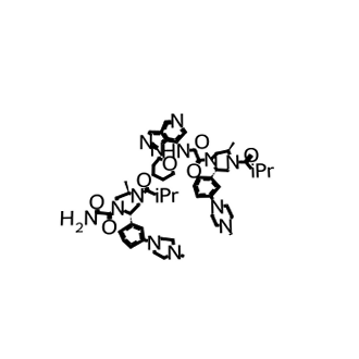 CC(C)C(=O)N1C[C@H](c2cccc(N3CCN(C)CC3)c2)N(C(=O)C(=O)Nc2cncc3cnn(C4CCCCO4)c23)C[C@H]1C.CC(C)C(=O)N1C[C@H](c2cccc(N3CCN(C)CC3)c2)N(C(=O)C(N)=O)C[C@H]1C